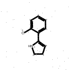 Clc1ccccc1C1=CCCN1